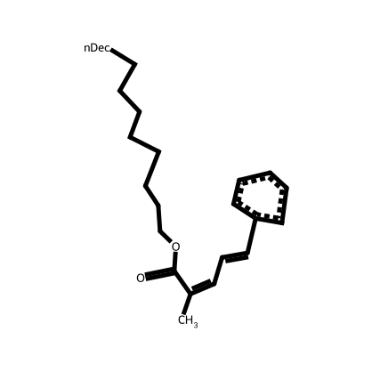 CCCCCCCCCCCCCCCCCCOC(=O)C(C)=CC=Cc1ccccc1